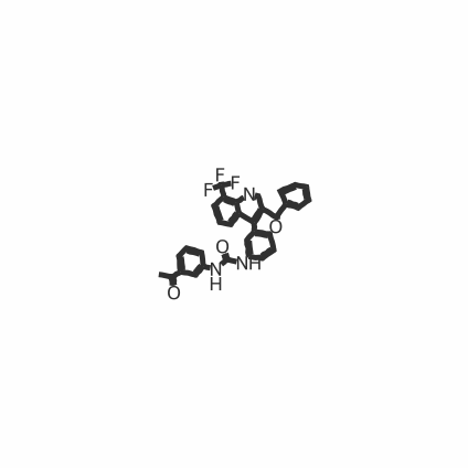 CC(=O)c1cccc(NC(=O)Nc2cccc(-c3c(C(=O)c4ccccc4)cnc4c(C(F)(F)F)cccc34)c2)c1